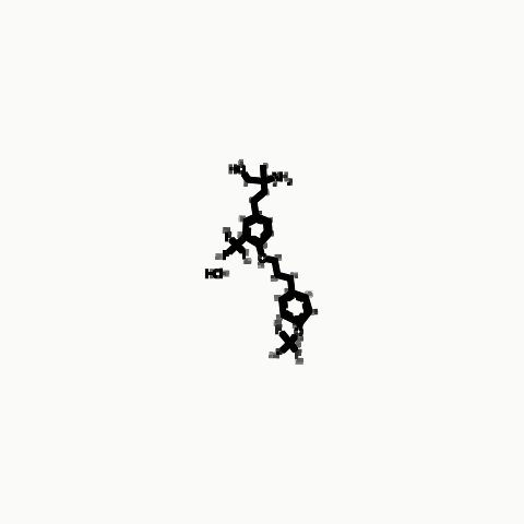 CC(N)(CO)CCc1ccc(OCCCc2ccc(OC(F)(F)F)cc2)c(C(F)(F)F)c1.Cl